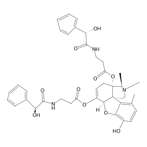 Cc1ccc(O)c2c1[C@]13CCN(C)[C@H](C)[C@]1(OC(=O)CCNC(=O)[C@@H](O)c1ccccc1)CC=C(OC(=O)CCNC(=O)[C@@H](O)c1ccccc1)[C@@H]3O2